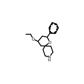 CCOC1CC(c2ccccc2)OC2(CCNCC2)C1